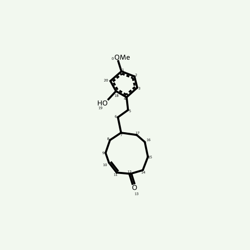 COc1ccc(CCC2CCC=CC(=O)CCCC2)c(O)c1